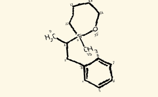 CC(Cc1ccccc1)[Si]1(C)CCCCO1